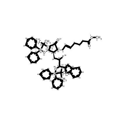 COC(=O)CCCC=CC[C@H]1C(=O)C[C@@H](O[Si](c2ccccc2)(c2ccccc2)C(C)(C)C)[C@@H]1CC(F)C(O[Si](c1ccccc1)(c1ccccc1)C(C)(C)C)c1cc2ccccc2s1